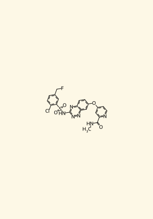 CNC(=O)c1cc(Oc2ccc3nc(NS(=O)(=O)c4cc(CF)ccc4Cl)nnc3c2)ccn1